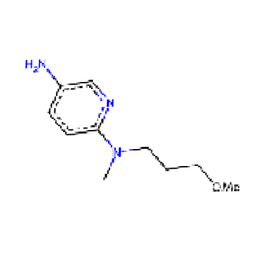 COCCCN(C)c1ccc(N)cn1